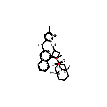 Cc1cc(Nc2cc3ncccc3c(N(C)[C@@H]3C[C@H]4CCC[C@@H](C3)N4S(=O)(=O)N3CC(C#N)C3)n2)n[nH]1